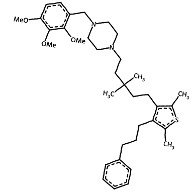 COc1ccc(CN2CCN(CCC(C)(C)CCc3c(C)sc(C)c3CCCc3ccccc3)CC2)c(OC)c1OC